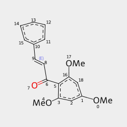 COc1cc(OC)c(C(=O)/C=C/c2ccccc2)c(OC)c1